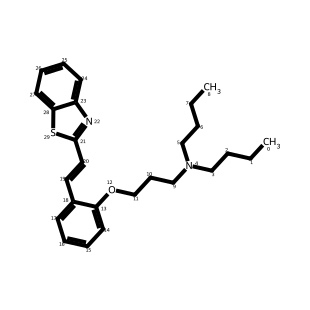 CCCCN(CCCC)CCCOc1ccccc1/C=C/c1nc2ccccc2s1